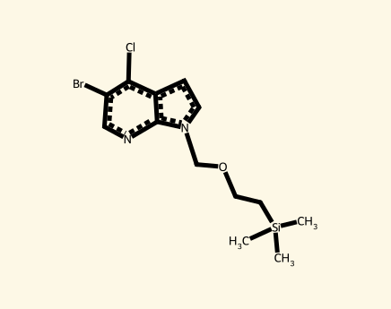 C[Si](C)(C)CCOCn1ccc2c(Cl)c(Br)cnc21